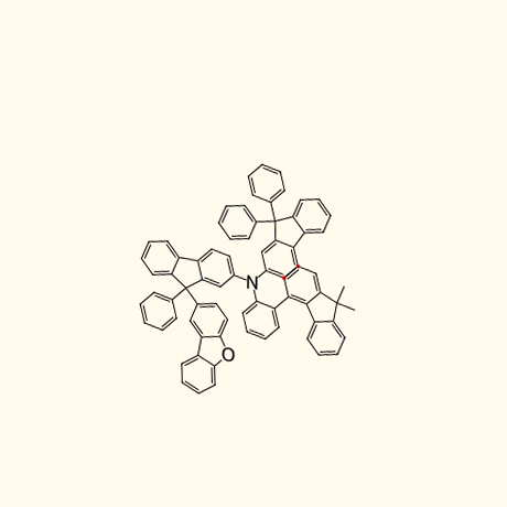 CC1(C)c2ccccc2-c2c(-c3ccccc3N(c3ccc4c(c3)C(c3ccccc3)(c3ccccc3)c3ccccc3-4)c3ccc4c(c3)C(c3ccccc3)(c3ccc5oc6ccccc6c5c3)c3ccccc3-4)cccc21